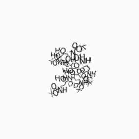 CNC[C@@H]1C=C[C@@H](NC(=O)OC(C)(C)C)[C@@H](O[C@H]2[C@H](O[C@@H]3O[C@H](CO)[C@@H](O[C@H]4O[C@@H](CNC(=O)OC(C)(C)C)[C@@H](O)[C@H](O)[C@H]4NC(=O)OC(C)(C)C)[C@H]3O)[C@@H](O)[C@H](NC(=O)[C@@H](O)CCNC(=O)OC(C)(C)C)C[C@@H]2NC(=O)OC(C)(C)C)O1